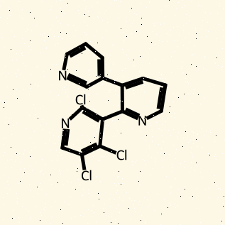 Clc1cnc(Cl)c(-c2ncccc2-c2cccnc2)c1Cl